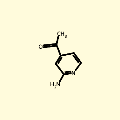 CC(=O)c1ccnc(N)c1